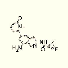 Cn1c(-c2cc(N)c3cnc(NC(=O)[C@@H]4C[C@@H]4F)cc3c2)cccc1=O